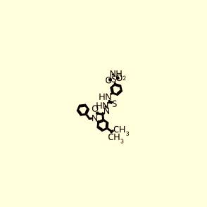 CC(C)c1ccc2c(c1)C(=NNC(=S)Nc1cccc(S(N)(=O)=O)c1)C(=O)N2Cc1ccccc1